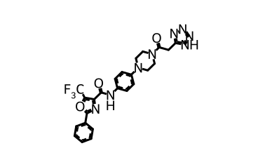 O=C(Nc1ccc(N2CCN(C(=O)Cc3nnn[nH]3)CC2)cc1)c1nc(-c2ccccc2)oc1C(F)(F)F